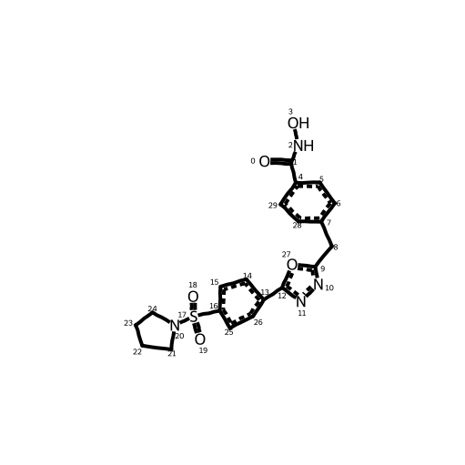 O=C(NO)c1ccc(Cc2nnc(-c3ccc(S(=O)(=O)N4CCCC4)cc3)o2)cc1